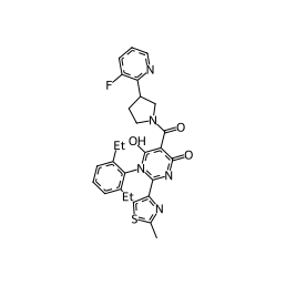 CCc1cccc(CC)c1-n1c(-c2csc(C)n2)nc(=O)c(C(=O)N2CCC(c3ncccc3F)C2)c1O